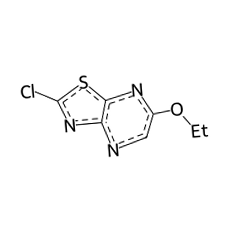 CCOc1cnc2nc(Cl)sc2n1